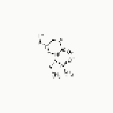 CC[C@@H](C(N)=O)N1CC(CI)CCC1=O